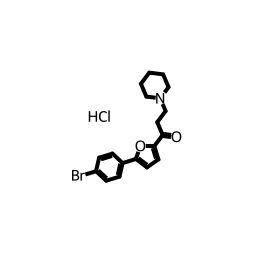 Cl.O=C(CCN1CCCCC1)c1ccc(-c2ccc(Br)cc2)o1